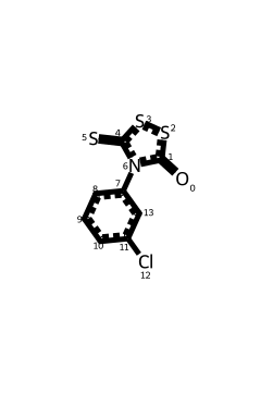 O=c1ssc(=S)n1-c1cccc(Cl)c1